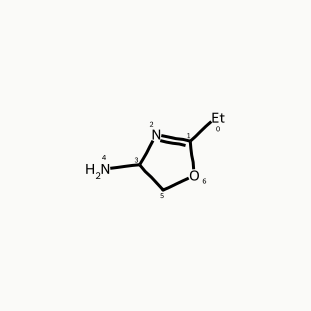 CCC1=NC(N)CO1